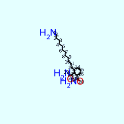 NCCCCCCCCCCCCc1cccc(C(N)=O)c1C(N)=O